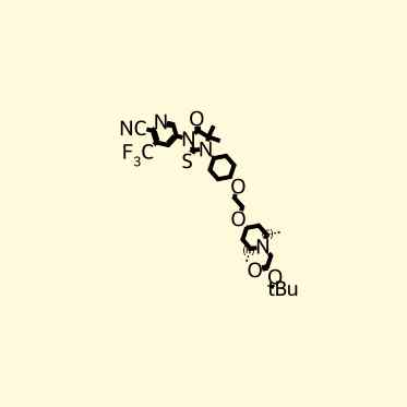 C[C@@H]1CC(OCCO[C@H]2CC[C@H](N3C(=S)N(c4cnc(C#N)c(C(F)(F)F)c4)C(=O)C3(C)C)CC2)C[C@H](C)N1CC(=O)OC(C)(C)C